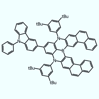 CC(C)(C)c1cc(N2c3cc4ccc5ccccc5c4cc3B3c4cc5c(ccc6ccccc65)cc4N(c4cc(C(C)(C)C)cc(C(C)(C)C)c4)c4cc(-c5ccc6c(c5)c5ccccc5n6-c5ccccc5)cc2c43)cc(C(C)(C)C)c1